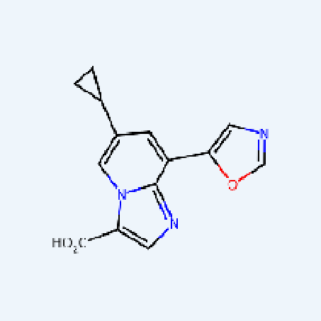 O=C(O)c1cnc2c(-c3cnco3)cc(C3CC3)cn12